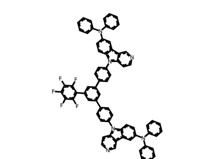 Fc1c(F)c(F)c(-c2cc(-c3ccc(-n4c5ccncc5c5cc(N(c6ccccc6)c6ccccc6)ccc54)cc3)cc(-c3ccc(-n4c5ccncc5c5cc(N(c6ccccc6)c6ccccc6)ccc54)cc3)c2)c(F)c1F